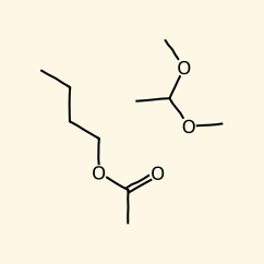 CCCCOC(C)=O.COC(C)OC